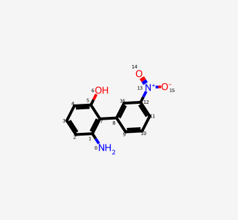 Nc1cccc(O)c1-c1cccc([N+](=O)[O-])c1